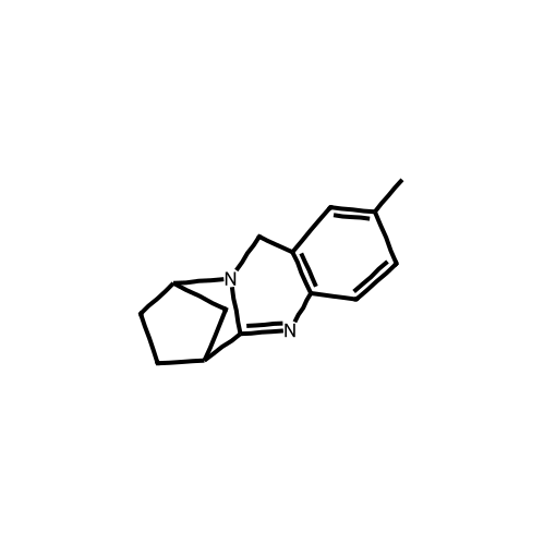 Cc1ccc2c(c1)CN1C(=N2)C2CCC1C2